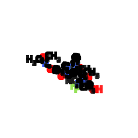 Cc1c(C(=O)N(c2ccc(O)cc2)c2cc(C#N)n(C(F)F)c2C)cc(-c2cc3c(cc2C(=O)N2Cc4ccccc4C[C@H]2CN2CCCCC2)CN(C(=O)Cc2ccc(OCCN4C[C@@H](C)O[C@@H](C)C4)cc2)CC3)n1C